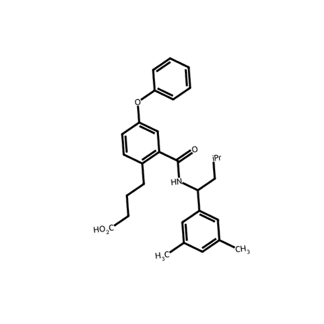 Cc1cc(C)cc(C(CC(C)C)NC(=O)c2cc(Oc3ccccc3)ccc2CCCC(=O)O)c1